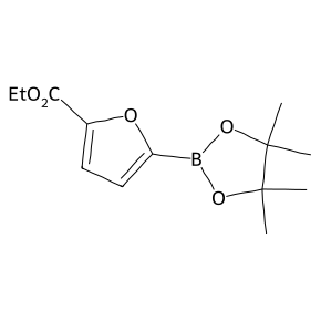 CCOC(=O)c1ccc(B2OC(C)(C)C(C)(C)O2)o1